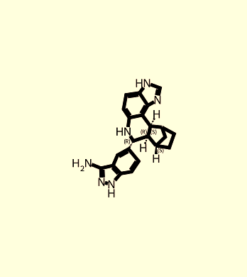 Nc1n[nH]c2ccc([C@@H]3Nc4ccc5[nH]cnc5c4[C@H]4C5CC[C@@H](C5)[C@@H]34)cc12